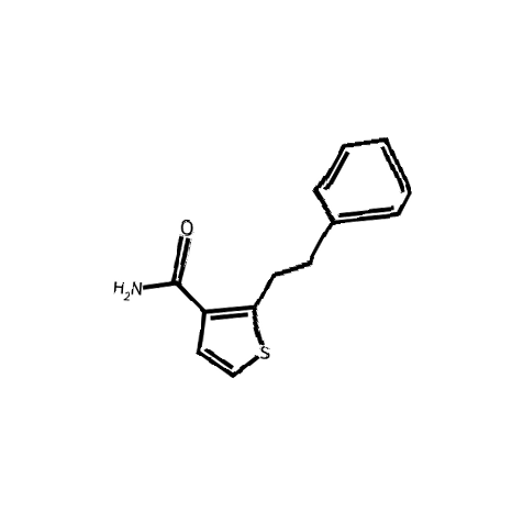 NC(=O)c1ccsc1CCc1ccccc1